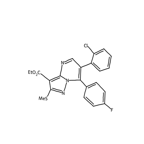 CCOC(=O)c1c(SC)nn2c(-c3ccc(F)cc3)c(-c3ccccc3Cl)cnc12